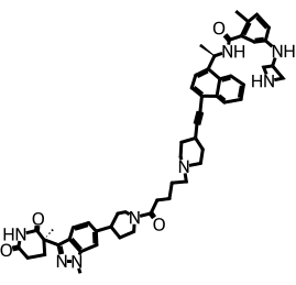 Cc1ccc(NC2CNC2)cc1C(=O)N[C@H](C)c1ccc(C#CC2CCN(CCCCC(=O)N3CCC(c4ccc5c([C@@]6(C)CCC(=O)NC6=O)nn(C)c5c4)CC3)CC2)c2ccccc12